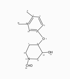 Cc1ccc(OC2CCN(C=O)CC2O)cc1C